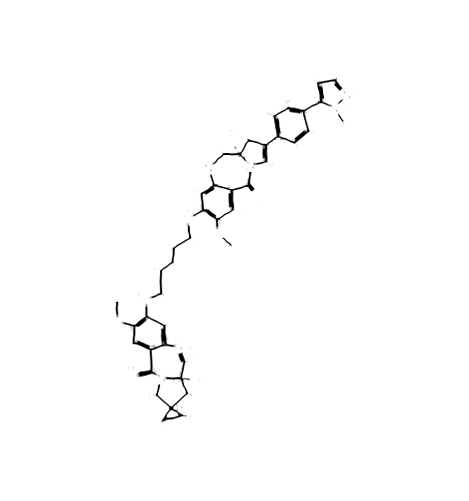 COc1cc2c(cc1OCCCCCOc1cc3c(cc1OC)C(=O)N1C=C(c4ccc(-c5ccnn5C)cc4)C[C@H]1CN3)N=C[C@@H]1CC3(CC3)CN1C2=O